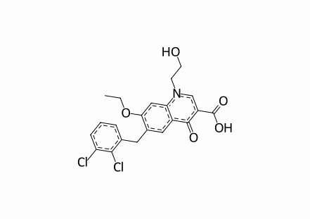 CCOc1cc2c(cc1Cc1cccc(Cl)c1Cl)c(=O)c(C(=O)O)cn2CCO